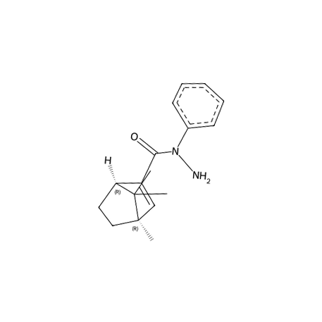 CC1(C)[C@H]2CC[C@]1(C)C=C2C(=O)N(N)c1ccccc1